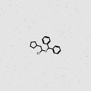 CCC(CC1CCCC1)OC(c1ccccc1)c1ccccc1